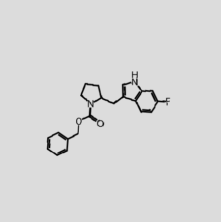 O=C(OCc1ccccc1)N1CCCC1Cc1c[nH]c2cc(F)ccc12